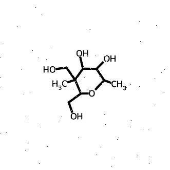 CC1OC(CO)C(C)(CO)C(O)C1O